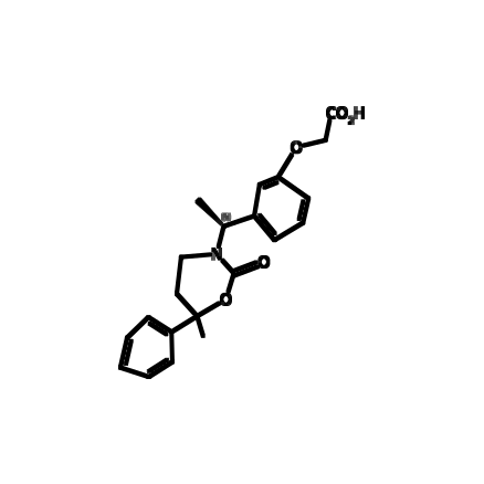 C[C@@H](c1cccc(OCC(=O)O)c1)N1CCC(C)(c2ccccc2)OC1=O